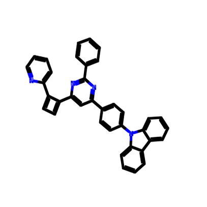 C1=C(c2ccccn2)C(c2cc(-c3ccc(-n4c5ccccc5c5ccccc54)cc3)nc(-c3ccccc3)n2)=C1